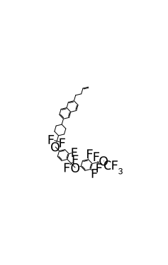 C=CCCc1ccc2cc(C3CCC(C(F)(F)Oc4ccc(C(F)(F)Oc5cc(F)c(C(F)(F)OC(F)(F)F)c(F)c5)c(F)c4)CC3)ccc2c1